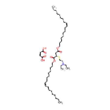 CCCCCCCC/C=C\CCCCCCCCOC(=O)CC(SCCN(CC)CC)C(=O)OCCCCCCCC/C=C\CCCCCCCC.O=C(O)/C=C\C(=O)O